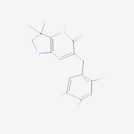 CC1(C)CNc2cc(Cc3cc(F)c(F)cc3F)c(=O)[nH]c21